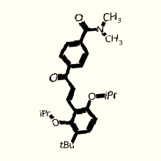 CC(C)Oc1ccc(C(C)(C)C)c(OC(C)C)c1C=CC(=O)c1ccc(C(=O)N(C)C)cc1